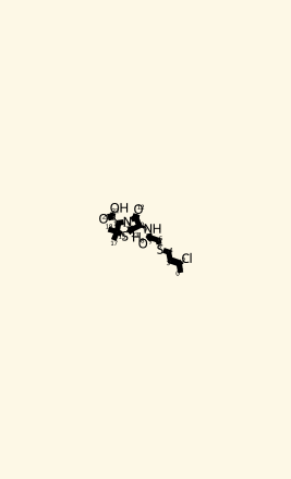 CC(Cl)=CCSCC(=O)N[C@@H]1C(=O)N2[C@@H]1SC(C)(C)[C@@H]2C(=O)O